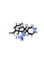 C/C=C(\C=C/CC)C(C)(/C=C\C(C)(C)C1(C)C=CC=NC=C1)/C=N\NC